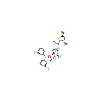 C=C(OC(c1cccc(F)c1)c1cccc(F)c1)O[C@H]1C[N+]2(CC(=O)c3sc(Br)cc3Br)CCC1CC2